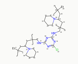 CCC(C)(C)CC(CC(C)(C)CNc1nc(Cl)nc(NCC(C)(C)CC(CC(C)(C)CC)N2CCCCC2)n1)N1CCCCC1